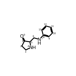 O=C1CCNC1CNc1ccccc1